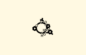 Cc1cccc(C[C@@H]2NC(=O)C3(CCCC3)NC(=O)[C@H](CC(C)C)NCCOc3ccccc3CCCNC2=O)c1